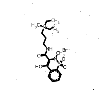 CC[N+](C)(CC)CCCNC(=O)C1=C(O)c2ccccc2S(=O)(=O)N1C.[Br-]